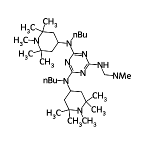 CCCCN(c1nc(NCNC)nc(N(CCCC)C2CC(C)(C)N(C)C(C)(C)C2)n1)C1CC(C)(C)N(C)C(C)(C)C1